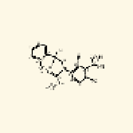 CCC(C(=O)O)c1c(Cl)cnc(N(CC(F)(F)c2cccc[n+]2[O-])C(=O)OC(C)(C)C)c1F